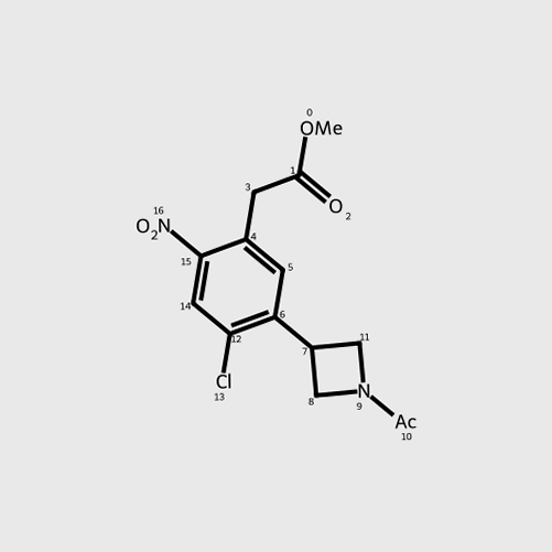 COC(=O)Cc1cc(C2CN(C(C)=O)C2)c(Cl)cc1[N+](=O)[O-]